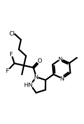 Cc1cnc(C2CCNN2C(=O)C(C)(CCCCl)C(F)F)cn1